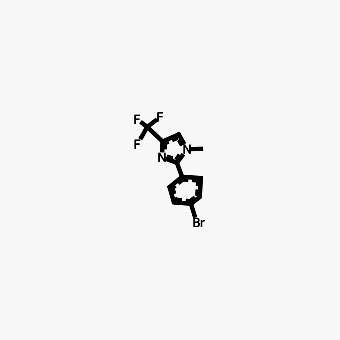 Cn1cc(C(F)(F)F)nc1-c1ccc(Br)cc1